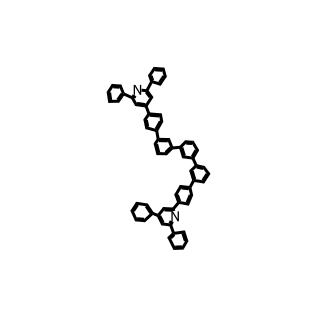 c1ccc(-c2cc(-c3ccccc3)nc(-c3ccc(-c4cccc(-c5cccc(-c6cccc(-c7ccc(-c8cc(-c9ccccc9)nc(-c9ccccc9)c8)cc7)c6)c5)c4)cc3)c2)cc1